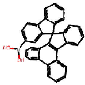 OB(O)c1ccc2c(c1)C1(c3ccccc3-2)c2ccccc2-c2c1c1ccccc1c1ccccc21